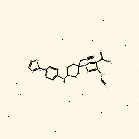 N#CCC1(n2cc(C(N)=O)c(NC=O)n2)CCC(Nc2ccc(-c3ccco3)cc2)CC1